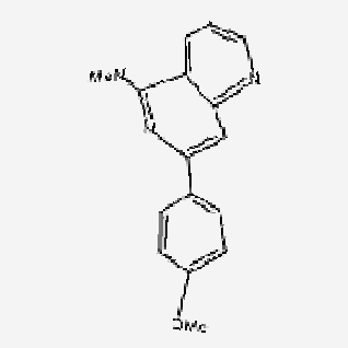 CNc1nc(-c2ccc(OC)cc2)cc2ncccc12